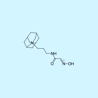 O=C(/C=N/O)NCCCN1CC2CC3CC(C2)CC1C3